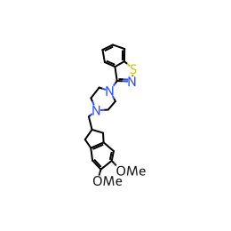 COc1cc2c(cc1OC)CC(CN1CCN(c3nsc4ccccc34)CC1)C2